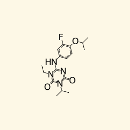 CCn1c(Nc2ccc(OC(C)C)c(F)c2)nc(=O)n(C(C)C)c1=O